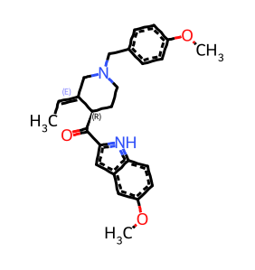 C/C=C1/CN(Cc2ccc(OC)cc2)CC[C@H]1C(=O)c1cc2cc(OC)ccc2[nH]1